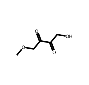 COCC(=O)C(=O)CO